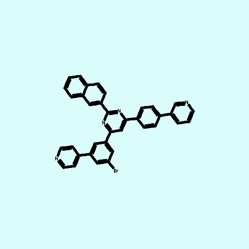 Brc1cc(-c2ccncc2)cc(-c2cc(-c3ccc(-c4cccnc4)cc3)nc(-c3ccc4ccccc4c3)n2)c1